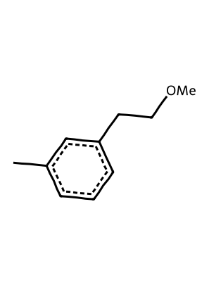 COCCc1cccc(C)c1